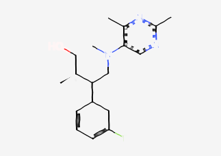 Cc1ncc(N(C)CC(C2C=CC=C(F)C2)[C@@H](C)CO)c(C)n1